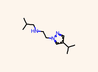 CC(C)CNCCn1cc(C(C)C)cn1